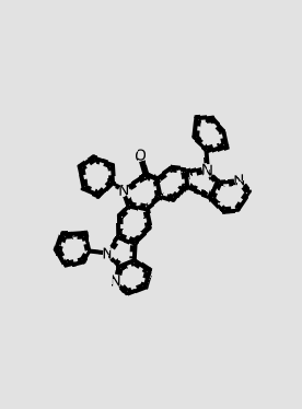 O=c1c2cc3c(cc2c2cc4c5cccnc5n(-c5ccccc5)c4cc2n1-c1ccccc1)c1cccnc1n3-c1ccccc1